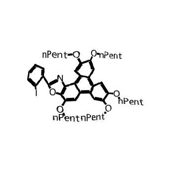 CCCCCOc1cc2c3cc(OCCCCC)c(OCCCCC)cc3c3c(cc(OCCCCC)c4oc(-c5ccccc5I)nc43)c2cc1OCCCCC